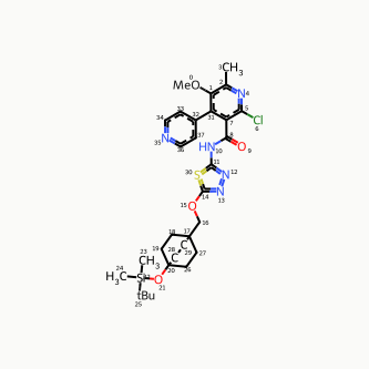 COc1c(C)nc(Cl)c(C(=O)Nc2nnc(OCC34CCC(O[Si](C)(C)C(C)(C)C)(CC3)CC4)s2)c1-c1ccncc1